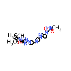 CNC(=O)CCN(C=O)c1cccc2c1cnn2C1CCN(CC2CCN(c3ncc(C(=O)NC4C(C)(C)CC4(C)C)cn3)CC2)CC1